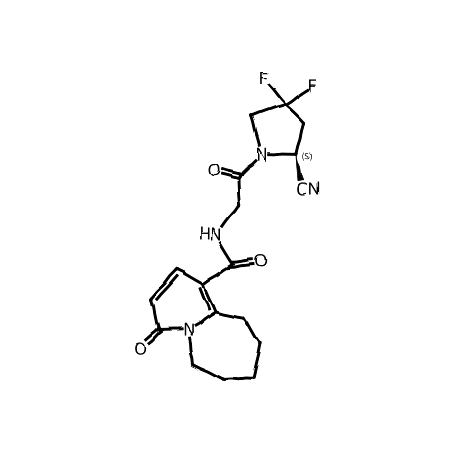 N#C[C@@H]1CC(F)(F)CN1C(=O)CNC(=O)c1ccc(=O)n2c1CCCCC2